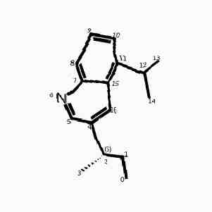 CC[C@H](C)c1cnc2cccc(C(C)C)c2c1